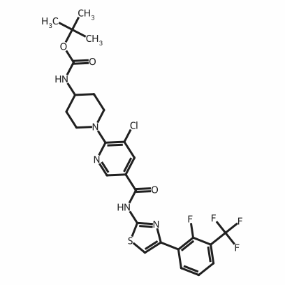 CC(C)(C)OC(=O)NC1CCN(c2ncc(C(=O)Nc3nc(-c4cccc(C(F)(F)F)c4F)cs3)cc2Cl)CC1